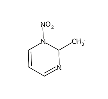 [CH2]C1N=CC=CN1[N+](=O)[O-]